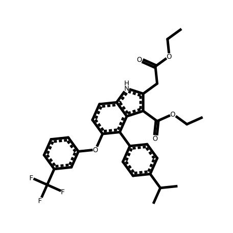 CCOC(=O)Cc1[nH]c2ccc(Oc3cccc(C(F)(F)F)c3)c(-c3ccc(C(C)C)cc3)c2c1C(=O)OCC